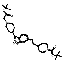 CC(C)(C)OC(=O)CN1CCC(c2n[nH]c3cc(CCC4CCN(C(=O)OC(C)(C)C)CC4)ccc23)CC1